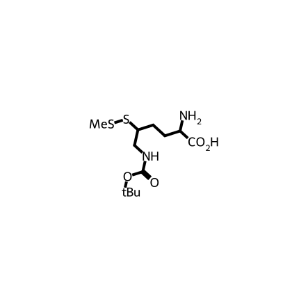 CSSC(CCC(N)C(=O)O)CNC(=O)OC(C)(C)C